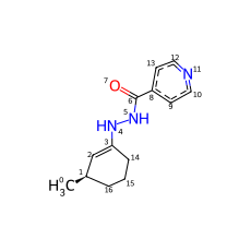 C[C@H]1C=C(NNC(=O)c2ccncc2)CCC1